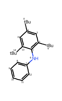 CC(C)(C)c1cc(C(C)(C)C)c(Nc2ccccc2)c(C(C)(C)C)c1